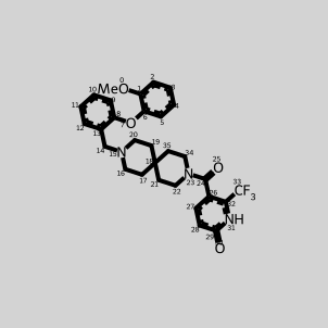 COc1ccccc1Oc1ccccc1CN1CCC2(CC1)CCN(C(=O)c1ccc(=O)[nH]c1C(F)(F)F)CC2